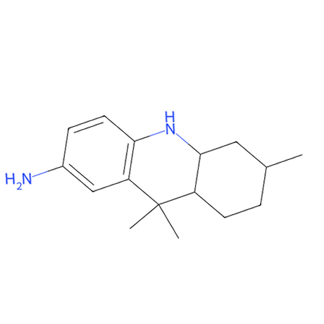 CC1CCC2C(C1)Nc1ccc(N)cc1C2(C)C